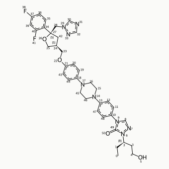 CC[C@H](CCO)n1ncn(-c2ccc(N3CCN(c4ccc(OC[C@H]5CO[C@](Cn6cncn6)(c6ccc(F)cc6F)C5)cc4)CC3)cc2)c1=O